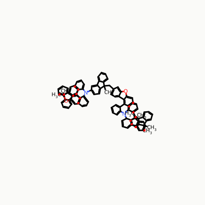 CC1(C)c2ccccc2-c2c(-c3ccccc3N(c3ccc4c(c3)-c3ccccc3C4(C)Cc3ccc4c(c3)oc3cccc(-c5ccccc5N(c5ccccc5-c5cccc6c5-c5ccccc5C6(C)C)C5C=CC=C6c7ccccc7C(C)(C)C65)c34)c3ccccc3-c3cccc4oc5ccccc5c34)cccc21